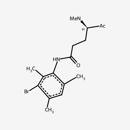 CN[C@H](CCC(=O)Nc1c(C)cc(C)c(Br)c1C)C(C)=O